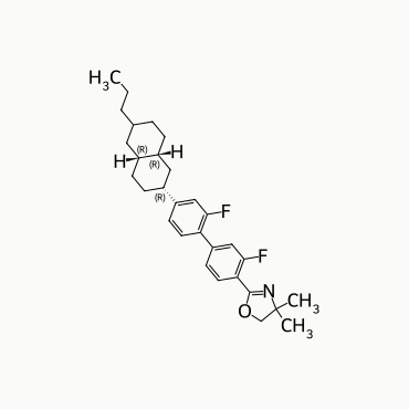 CCCC1CC[C@@H]2C[C@H](c3ccc(-c4ccc(C5=NC(C)(C)CO5)c(F)c4)c(F)c3)CC[C@@H]2C1